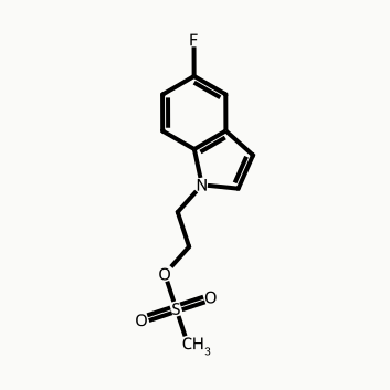 CS(=O)(=O)OCCn1ccc2cc(F)ccc21